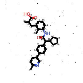 Cc1ccc(-c2ccc(C(C(=O)Nc3cccc(CC(C)C(=O)O)c3C)C3CCCC3)cc2)cn1